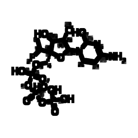 CC(F)[C@]1(COP(=O)(O)OP(=O)(O)OP(=O)(O)O)OC(N2C=CC(N)=NC2O)[C@H](Cl)[C@@H]1O